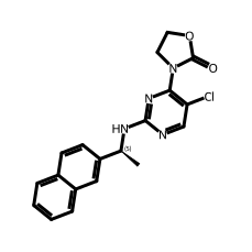 C[C@H](Nc1ncc(Cl)c(N2CCOC2=O)n1)c1ccc2ccccc2c1